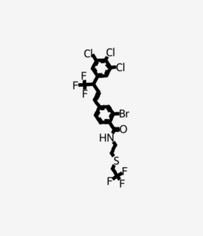 O=C(NCCSCC(F)(F)F)c1ccc(C=CC(c2cc(Cl)c(Cl)c(Cl)c2)C(F)(F)F)cc1Br